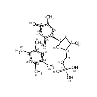 Cc1cn([C@H]2C[C@H](O)[C@@H](COP(=O)(O)O)O2)c(=O)[nH]c1=O.Cc1nc(C)c(C)nc1C